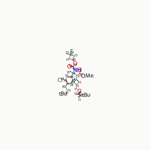 COC(=O)C(C1CC(CO[Si](C)(C)C(C)(C)C)C1)[C@@](C)(NC(=O)OC1CC(C)(F)C1)c1ccc(CCC(C)(C)C)c(Cl)c1